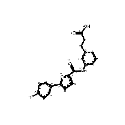 O=C(O)CCc1cccc(NC(=O)c2ccc(-c3ccc(F)cc3)o2)c1